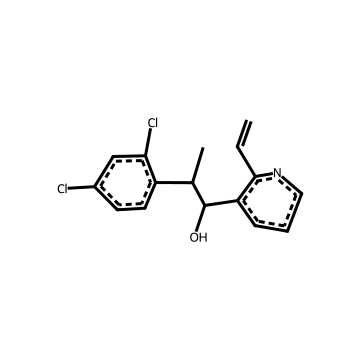 C=Cc1ncccc1C(O)C(C)c1ccc(Cl)cc1Cl